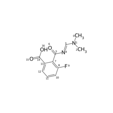 CN(C)C=NC(=O)c1c(F)cccc1C(=O)O